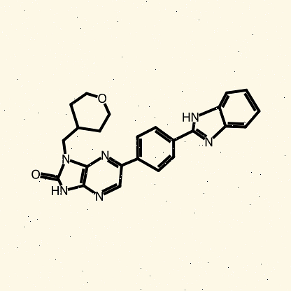 O=c1[nH]c2ncc(-c3ccc(-c4nc5ccccc5[nH]4)cc3)nc2n1CC1CCOCC1